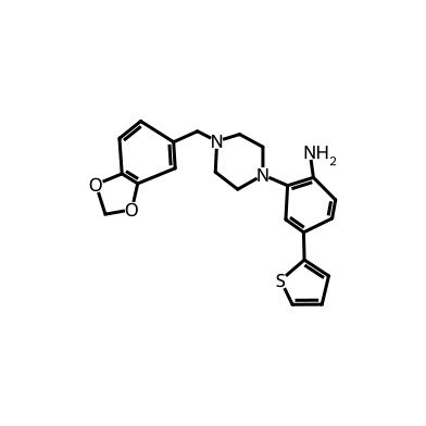 Nc1ccc(-c2cccs2)cc1N1CCN(Cc2ccc3c(c2)OCO3)CC1